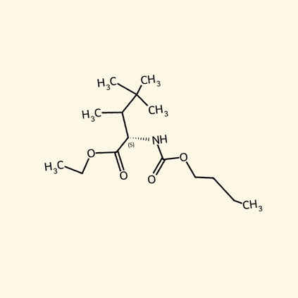 CCCCOC(=O)N[C@H](C(=O)OCC)C(C)C(C)(C)C